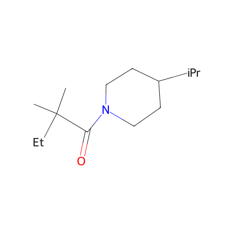 CCC(C)(C)C(=O)N1CCC(C(C)C)CC1